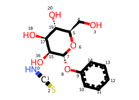 N=C=S.OC[C@H]1O[C@H](Oc2ccccc2)[C@@H](O)[C@@H](O)[C@@H]1O